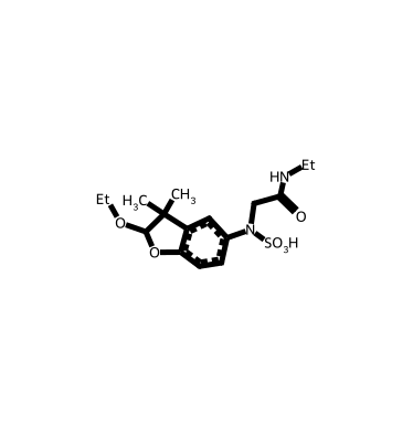 CCNC(=O)CN(c1ccc2c(c1)C(C)(C)C(OCC)O2)S(=O)(=O)O